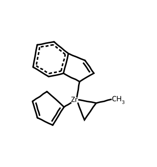 C[CH]1[CH2][Zr]1([C]1=CC=CC1)[CH]1C=Cc2ccccc21